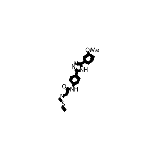 C=CS/C=N\CC(=O)Nc1ccc(-c2nnc(-c3cccc(OC)c3)[nH]2)cc1